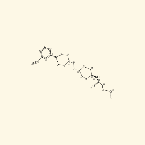 C#Cc1cccc(N2CCN(CC[C@H]3CC[C@H](NC(=O)CCOC)CC3)CC2)c1